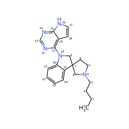 CCCCN1CCC2(C1)CN(c1ncnc3[nH]ccc13)c1ccccc12